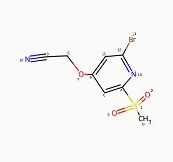 CS(=O)(=O)c1cc(OCC#N)cc(Br)n1